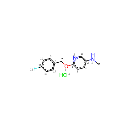 CNc1ccc(OCc2ccc(F)cc2)nc1.Cl